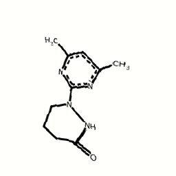 Cc1cc(C)nc(N2CCCC(=O)N2)n1